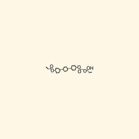 C=CC(=O)Oc1ccc(-c2ccc(-c3ccc(OC(=O)COC(O)C=C)cc3)cc2)cc1